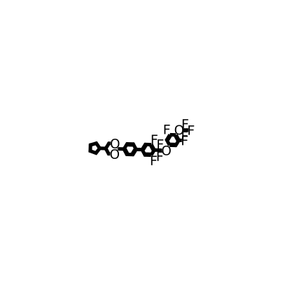 Fc1cc(OC(F)(F)c2c(F)cc(-c3ccc(C4OCC(C5CCCC5)CO4)cc3)cc2F)cc(F)c1OC(F)(F)F